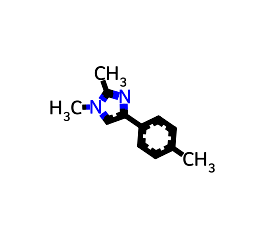 Cc1ccc(-c2cn(C)c(C)n2)cc1